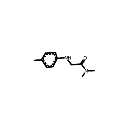 Cc1ccc(NCC(=O)N(C)C)cc1